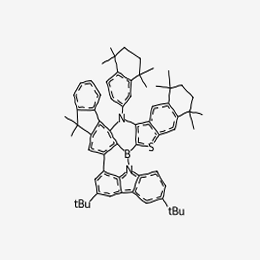 CC(C)(C)c1ccc2c(c1)c1cc(C(C)(C)C)cc3c1n2B1c2sc4cc5c(cc4c2N(c2ccc4c(c2)C(C)(C)CCC4(C)C)c2c1c-3cc1c2-c2ccccc2C1(C)C)C(C)(C)CCC5(C)C